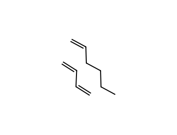 C=CC=C.C=CCCCC